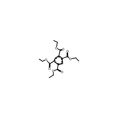 CCOC(=O)c1cc(C(=O)OCC)c(C(=O)OCC)cc1C(=O)OCC